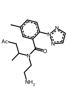 CC(=O)CC(C)N(CCN)C(=O)c1cc(C)ccc1-n1nccn1